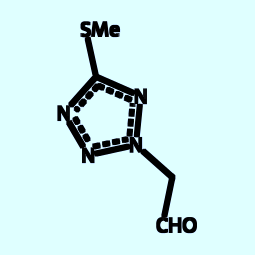 CSc1nnn(CC=O)n1